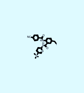 C[Si](C)(C)c1ccc(NC(=O)c2cc(CI)ccc2NC(=O)c2ccc(C#N)cc2)nc1